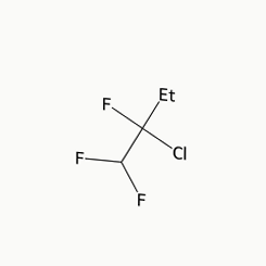 [CH2]CC(F)(Cl)C(F)F